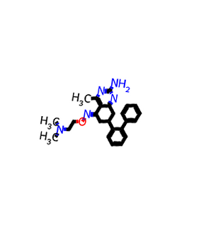 Cc1nc(N)nc2c1/C(=N/OCCN(C)C)CC(c1ccccc1-c1ccccc1)C2